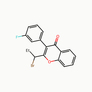 CCC(Br)c1oc2ccccc2c(=O)c1-c1cccc(F)c1